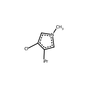 CC(C)c1cn(C)cc1Cl